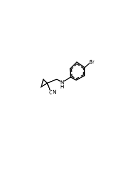 N#CC1(CNc2ccc(Br)cc2)CC1